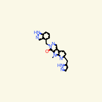 Cn1c2nc(Cc3ccn[nH]3)ccc2c2cnn(Cc3cccc4[nH]ncc34)c(=O)c21